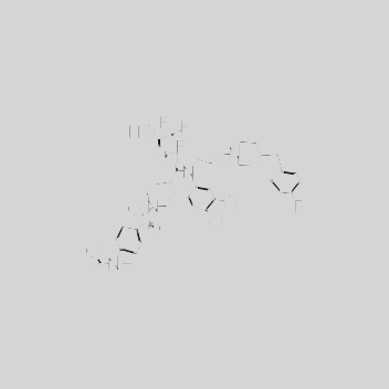 CC(=O)Nc1ccc(S(=O)(=O)N2CCC(C(=O)N(CCCN3CCC(Cc4ccc(F)cc4)CC3)c3ccc(Cl)c(Cl)c3)CC2)cc1.O=C(O)C(F)(F)F